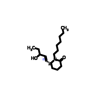 CCCCCCCN1C(=O)CCC[C@@H]1/C=C/C(O)CC